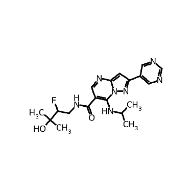 CC(C)Nc1c(C(=O)NCC(F)C(C)(C)O)cnc2cc(-c3cncnc3)nn12